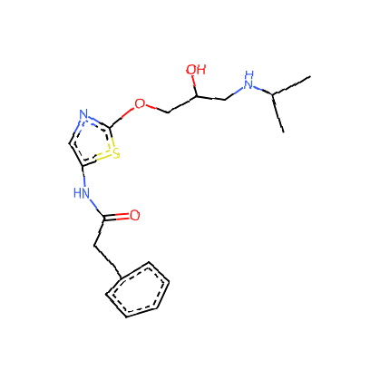 CC(C)NCC(O)COc1ncc(NC(=O)Cc2ccccc2)s1